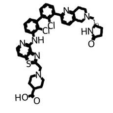 O=C1CC[C@@H](CN2CCc3nc(-c4cccc(-c5cccc(Nc6nccc7sc(CN8CCC(C(=O)O)CC8)nc67)c5Cl)c4Cl)ccc3C2)N1